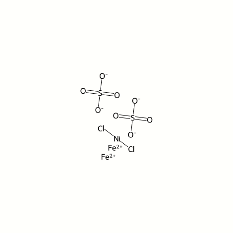 O=S(=O)([O-])[O-].O=S(=O)([O-])[O-].[Cl][Ni][Cl].[Fe+2].[Fe+2]